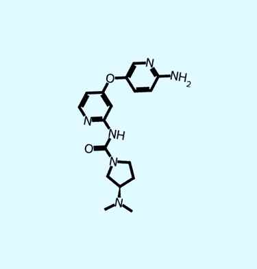 CN(C)[C@@H]1CCN(C(=O)Nc2cc(Oc3ccc(N)nc3)ccn2)C1